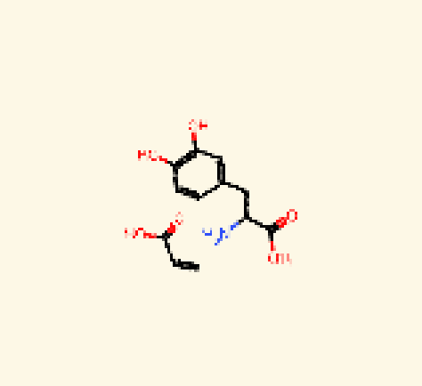 C=CC(=O)O.N[C@@H](Cc1ccc(O)c(O)c1)C(=O)O